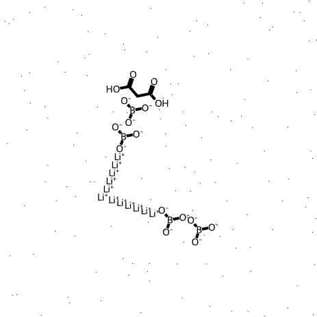 O=C(O)CC(=O)O.[Li+].[Li+].[Li+].[Li+].[Li+].[Li+].[Li+].[Li+].[Li+].[Li+].[Li+].[Li+].[O-]B([O-])[O-].[O-]B([O-])[O-].[O-]B([O-])[O-].[O-]B([O-])[O-]